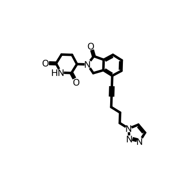 O=C1CCC(N2Cc3c(C#CCCCn4ccnn4)cccc3C2=O)C(=O)N1